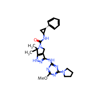 COc1nc(Nc2n[nH]c3c2CN(C(=O)NC2C[C@@H]2c2ccccc2)C3(C)C)nc(N2CCCC2)n1